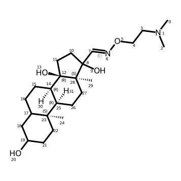 CN(C)CCO/N=C/C1(O)CC[C@@]2(O)[C@@H]3CCC4CC(O)CC[C@]4(C)[C@@H]3CC[C@]12C